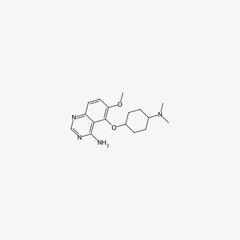 COc1ccc2ncnc(N)c2c1OC1CCC(N(C)C)CC1